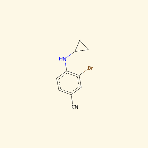 N#Cc1ccc(NC2CC2)c(Br)c1